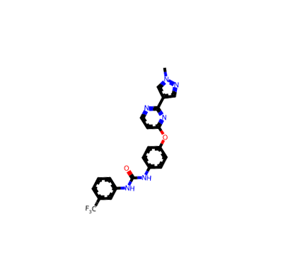 Cn1cc(-c2nccc(Oc3ccc(NC(=O)Nc4cccc(C(F)(F)F)c4)cc3)n2)cn1